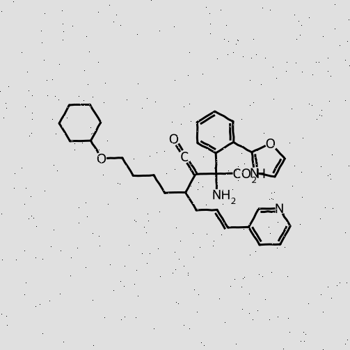 NC(C(=O)O)(C(=C=O)C(CC=Cc1cccnc1)CCCCOC1CCCCC1)c1ccccc1-c1ncco1